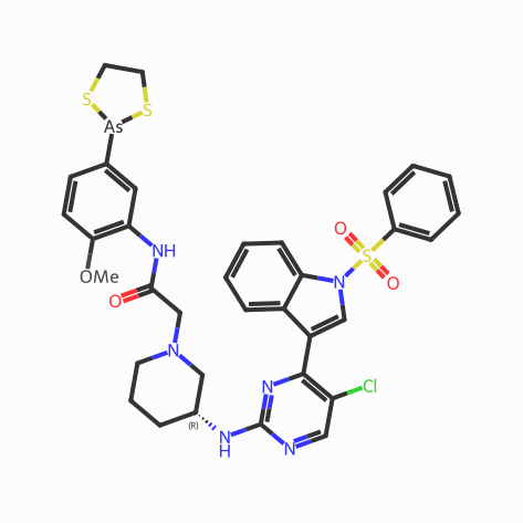 COc1ccc([As]2SCCS2)cc1NC(=O)CN1CCC[C@@H](Nc2ncc(Cl)c(-c3cn(S(=O)(=O)c4ccccc4)c4ccccc34)n2)C1